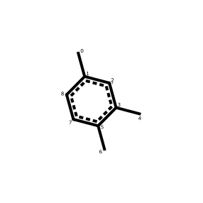 Cc1[c]c(C)c(C)cc1